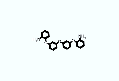 Nc1ccccc1Oc1cccc(Oc2cccc(Oc3ccccc3N)c2)c1